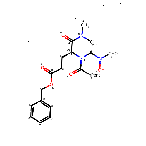 CCCCCC(=O)N(CN(O)C=O)[C@@H](CCC(=O)OCc1ccccc1)C(=O)N(C)C